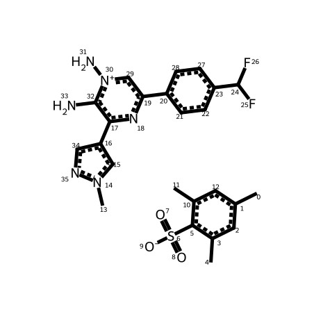 Cc1cc(C)c(S(=O)(=O)[O-])c(C)c1.Cn1cc(-c2nc(-c3ccc(C(F)F)cc3)c[n+](N)c2N)cn1